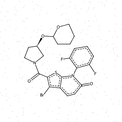 O=C(c1sc2c(ccc(=O)n2-c2c(F)cccc2F)c1Br)N1CC[C@@H](OC2CCCCO2)C1